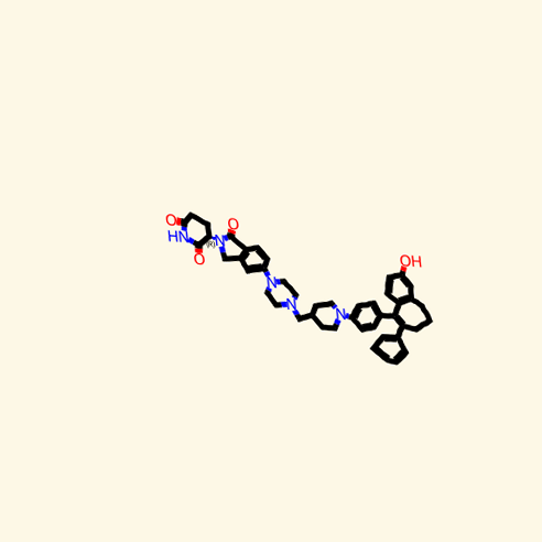 O=C1CC[C@@H](N2Cc3cc(N4CCN(CC5CCN(c6ccc(C7=C(c8ccccc8)CCCc8cc(O)ccc87)cc6)CC5)CC4)ccc3C2=O)C(=O)N1